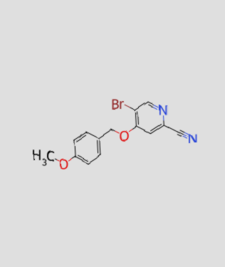 COc1ccc(COc2cc(C#N)ncc2Br)cc1